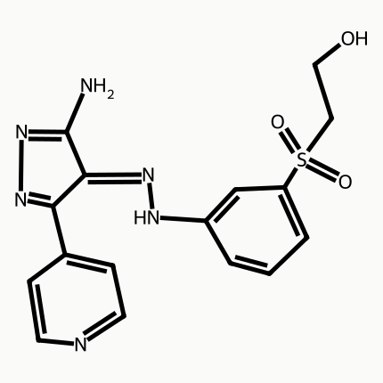 NC1=NN=C(c2ccncc2)/C1=N\Nc1cccc(S(=O)(=O)CCO)c1